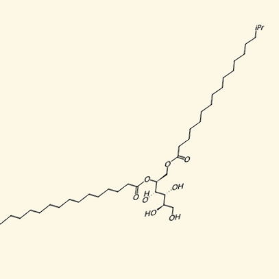 CC(C)CCCCCCCCCCCCCCC(=O)OC[C@H](OC(=O)CCCCCCCCCCCCCCC(C)C)[C@@H](O)[C@H](O)[C@H](O)CO